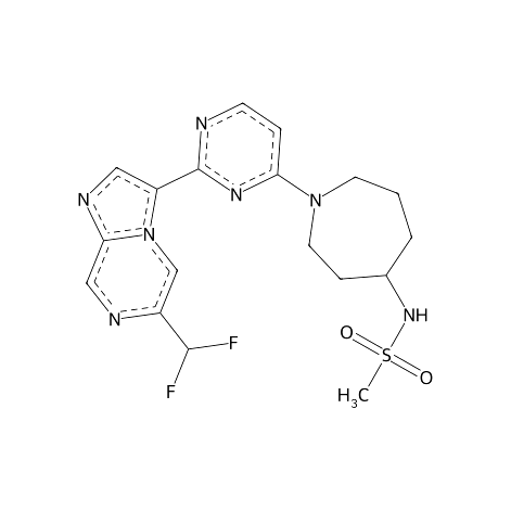 CS(=O)(=O)NC1CCCN(c2ccnc(-c3cnc4cnc(C(F)F)cn34)n2)CC1